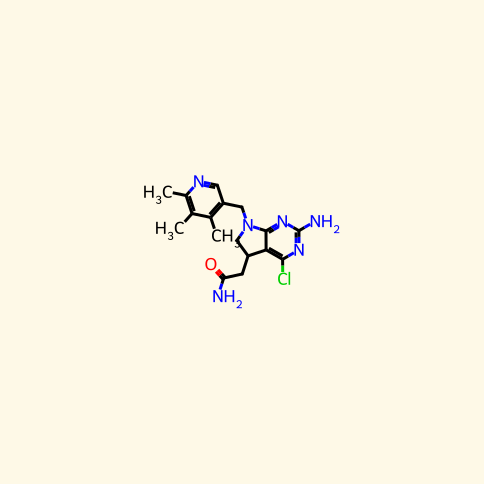 Cc1ncc(CN2CC(CC(N)=O)c3c(Cl)nc(N)nc32)c(C)c1C